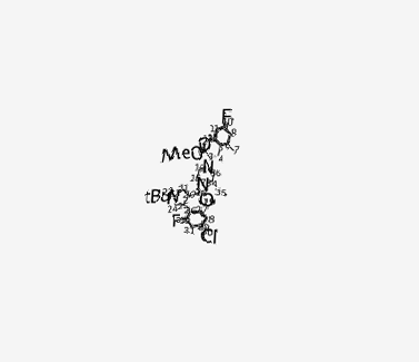 COC(=O)[C@H](Cc1c(C)cc(F)cc1C)N1CCN(C(=O)[C@@H]2CN(C(C)(C)C)C[C@H]2c2ccc(Cl)cc2F)[C@@H](C)C1